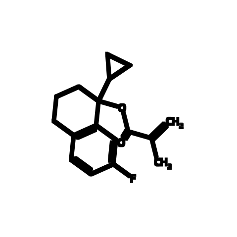 C=C(C)C(=O)OC1(C2CC2)CCCc2ccc(F)cc21